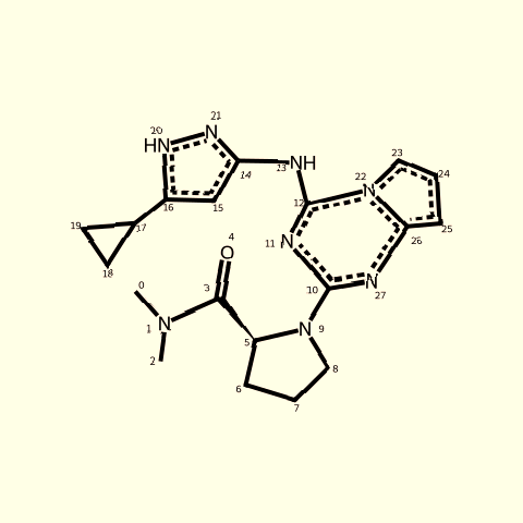 CN(C)C(=O)[C@@H]1CCCN1c1nc(Nc2cc(C3CC3)[nH]n2)n2cccc2n1